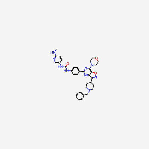 CNc1ccc(NC(=O)Nc2ccc(-c3nc(N4CCOCC4)c4onc(C5CCN(Cc6ccccc6)CC5)c4n3)cc2)cn1